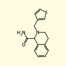 NC(=O)C1c2cc[c]cc2CCN1Cc1ccsc1